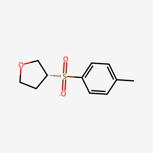 Cc1ccc(S(=O)(=O)[C@@H]2CCOC2)cc1